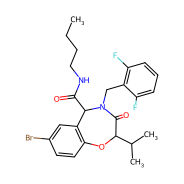 CCCCNC(=O)C1c2cc(Br)ccc2OC(C(C)C)C(=O)N1Cc1c(F)cccc1F